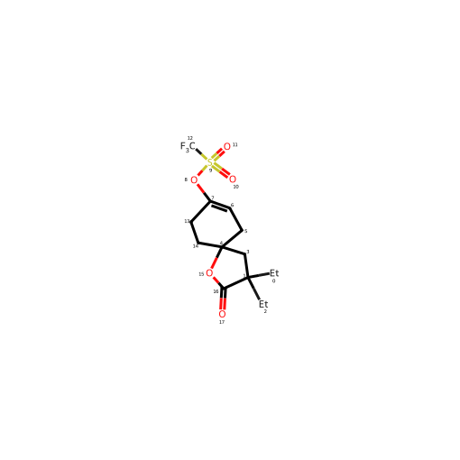 CCC1(CC)CC2(CC=C(OS(=O)(=O)C(F)(F)F)CC2)OC1=O